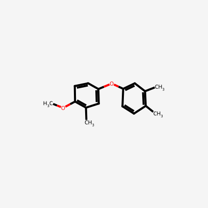 COc1ccc(Oc2ccc(C)c(C)c2)cc1C